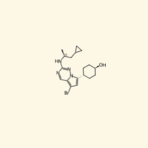 C[C@@H](CC1CC1)Nc1ncc2c(Br)cc([C@H]3CC[C@H](O)CC3)n2n1